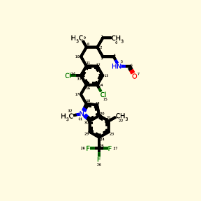 CCC(CCNC=O)C(C)Cc1ccc(Cl)c(Cc2cc3c(C)cc(C(F)(F)F)cc3n2C)c1Cl